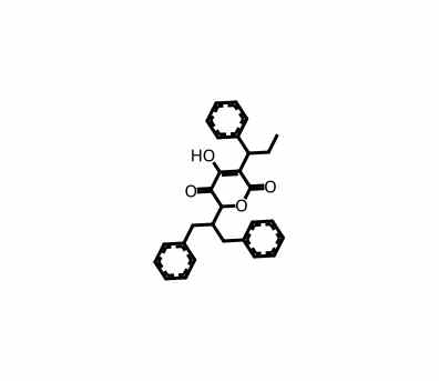 CCC(C1=C(O)C(=O)C(C(Cc2ccccc2)Cc2ccccc2)OC1=O)c1ccccc1